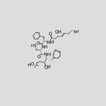 O=C(O)C[C@H](O)[C@@H](Cc1ccccc1)NC(=O)[C@@H](CS)NC(=O)[C@@H](Cc1ccccc1)NC(=O)C[C@H](O)/C=C/CCS